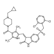 Cc1[nH]c(/C=C2\C(=O)Nc3ccc(S(=O)(=O)Cc4c(Cl)cccc4Cl)cc32)c(C)c1C(=O)N1CCN(CC2CC2)CC1